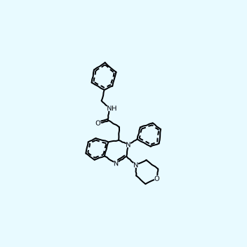 O=C(CC1c2ccccc2N=C(N2CCOCC2)N1c1ccccc1)NCc1ccccc1